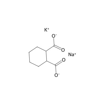 O=C([O-])C1CCCCC1C(=O)[O-].[K+].[Na+]